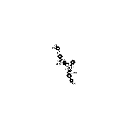 CC[C@@H](c1ccccc1)N1Cc2cc3c(cc2C[C@H]1C(=O)NC(Cc1ccc(-c2ccc(C#N)cc2)cc1)C(=O)OC)N(C)C(=O)[C@H](c1ccc(OCc2ccc(Cl)c(Cl)c2)cc1)O3